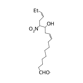 CC/C=C\CC(C(O)C/C=C\CCCCCCC[C]=O)[N+](=O)[O-]